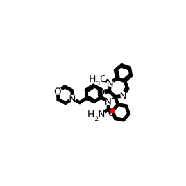 CN1C(=O)[C@@](C2CCCCC2)(N(C(N)=O)c2cccc(CN3CCOCC3)c2)N=Cc2ccccc21